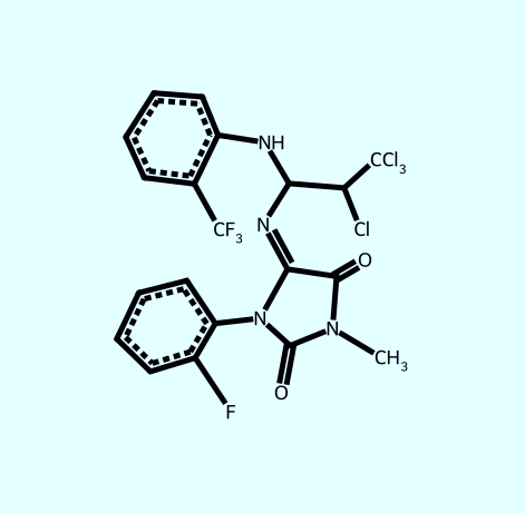 CN1C(=O)C(=NC(Nc2ccccc2C(F)(F)F)C(Cl)C(Cl)(Cl)Cl)N(c2ccccc2F)C1=O